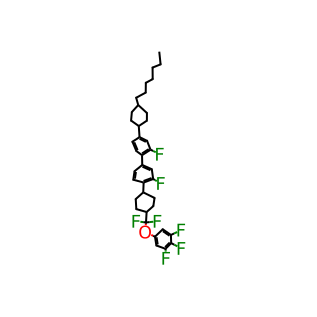 CCCCCCCC1CCC(c2ccc(-c3ccc(C4CCC(C(F)(F)Oc5cc(F)c(F)c(F)c5)CC4)c(F)c3)c(F)c2)CC1